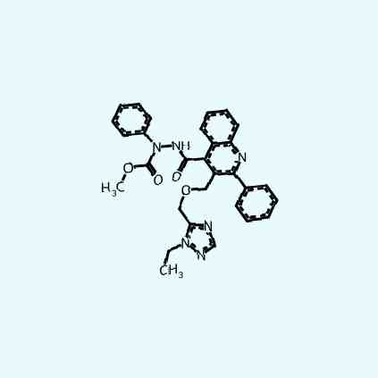 CCn1ncnc1COCc1c(-c2ccccc2)nc2ccccc2c1C(=O)NN(C(=O)OC)c1ccccc1